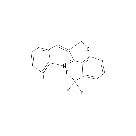 Cc1cccc2cc(CCl)c(-c3ccccc3C(F)(F)F)nc12